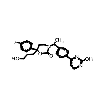 C[C@@H](c1ccc(-c2ccnc(O)n2)cc1)N1CCC(CCCO)(c2ccc(F)cc2)OC1=O